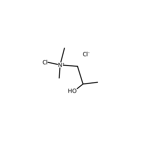 CC(O)C[N+](C)(C)Cl.[Cl-]